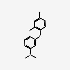 Cc1ccc(Oc2cccc(N(C)C)c2)c(C)c1